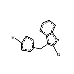 CCc1nc2ccccc2n1Cc1ccc(Br)cc1